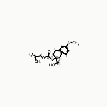 COc1ccc2c(c1)CCC(NC(=O)OCC(C)C)(C(=O)O)C2